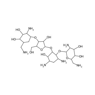 NCC1CC(OC2C(CO)OC(OC3C(O)C(N)CC(N)C3OC3OC(CN)C(O)C(O)C3N)C2O)C(N)C(O)C1O